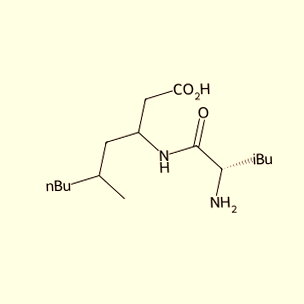 CCCCC(C)CC(CC(=O)O)NC(=O)[C@@H](N)C(C)CC